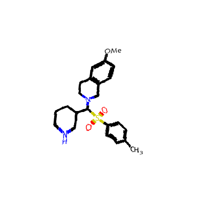 COc1ccc2c(c1)CCN(C(C1CCCNC1)S(=O)(=O)c1ccc(C)cc1)C2